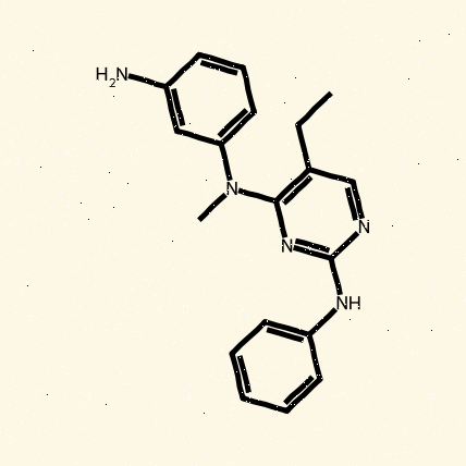 CCc1cnc(Nc2ccccc2)nc1N(C)c1cccc(N)c1